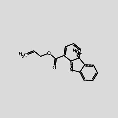 C=CCOC(=O)C1=CC=C2NC=CC23C1=Nc1ccccc13